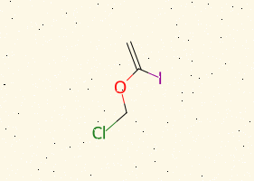 C=C(I)OCCl